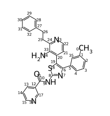 Cc1cccc(-c2nc(NC(=O)c3cccnc3)sc2-c2ccnc(CCc3ccccc3)c2N)c1